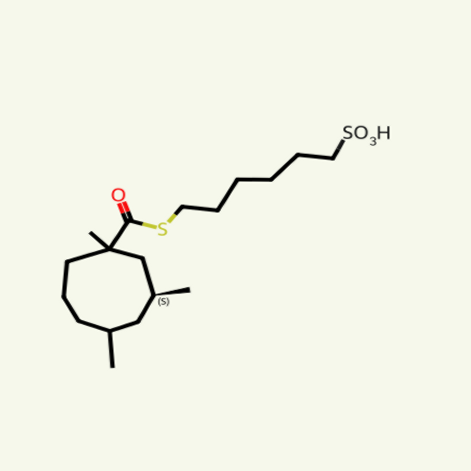 CC1CCCC(C)(C(=O)SCCCCCCS(=O)(=O)O)C[C@@H](C)C1